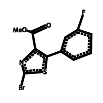 COC(=O)c1nc(Br)sc1-c1cccc(F)c1